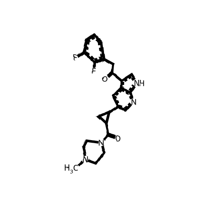 CN1CCN(C(=O)C2CC2c2cnc3[nH]cc(C(=O)Cc4cccc(F)c4F)c3c2)CC1